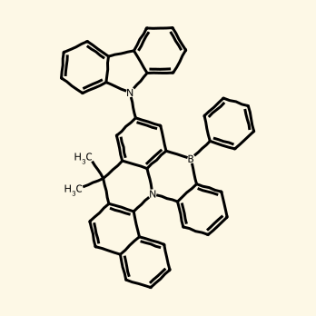 CC1(C)c2cc(-n3c4ccccc4c4ccccc43)cc3c2N(c2ccccc2B3c2ccccc2)c2c1ccc1ccccc21